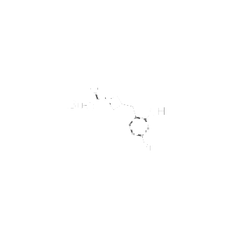 Cc1cc(Br)ccc1CC1CN(C(=O)OC(C)(C)C)C1